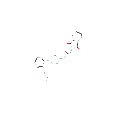 CCCOc1ccccc1N1CCN(CC(=O)CN2C(=O)C3CC=CCC3C2=O)CC1.Cl